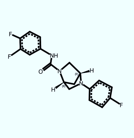 O=C(Nc1ccc(F)c(F)c1)N1C[C@H]2C[C@@H]1CN2c1ccc(F)cc1